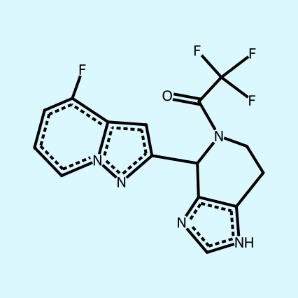 O=C(N1CCc2[nH]cnc2C1c1cc2c(F)cccn2n1)C(F)(F)F